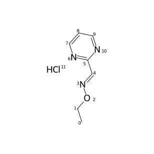 CCO/N=C/c1ncccn1.Cl